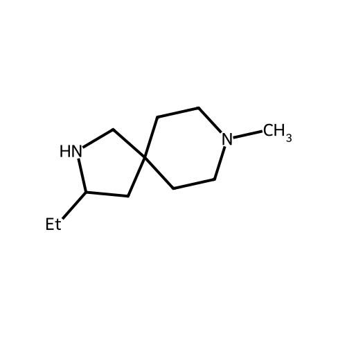 CCC1CC2(CCN(C)CC2)CN1